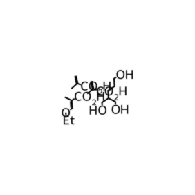 C=C(C)C(=O)O.C=C(C)C(=O)O.CCOC=C(C)C(=O)O.OCCCC(CO)CO